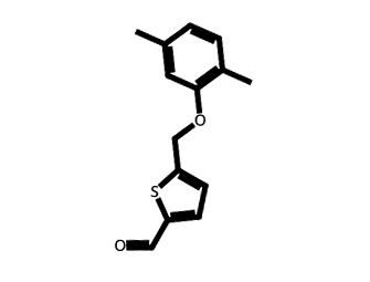 Cc1ccc(C)c(OCc2ccc(C=O)s2)c1